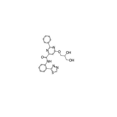 O=C(Nc1ccccc1-c1nncs1)c1cc(OCC(O)CO)nc(-c2ccccc2)n1